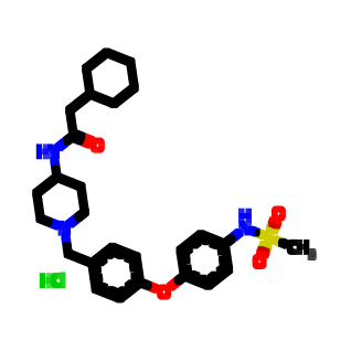 CS(=O)(=O)Nc1ccc(Oc2ccc(CN3CCC(NC(=O)CC4CCCCC4)CC3)cc2)cc1.Cl